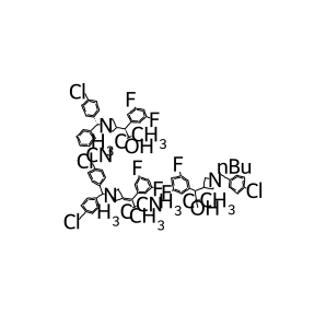 CC(C)(C#N)C(=C1CN(C(c2ccc(Cl)cc2)c2ccc(Cl)cc2)C1)c1cc(F)cc(F)c1.CC(C)(O)[C@H](c1cc(F)cc(F)c1)C1CN([C@@H](c2ccc(Cl)cc2)c2cccc(C#N)c2)C1.CCCCC(c1ccc(Cl)cc1)N1CC(C(c2cc(F)cc(F)c2)C(C)(C)O)C1